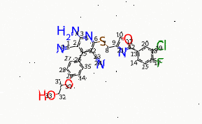 N#Cc1c(N)nc(SCc2coc(-c3ccc(F)c(Cl)c3)n2)c(C#N)c1-c1ccc(OCCO)cc1